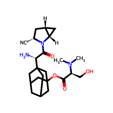 CN(C)[C@@H](CO)C(=O)OC12CC3CC(C1)CC([C@H](N)C(=O)N1[C@H](C#N)C[C@@H]4C[C@@H]41)(C3)C2